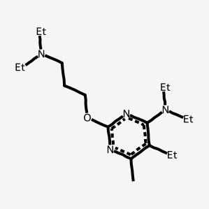 CCc1c(C)nc(OCCCN(CC)CC)nc1N(CC)CC